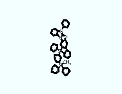 C[Si](c1ccccc1)(c1ccccc1)c1cccc([Si](c2ccccc2)(c2ccccc2)c2ccc3nc4n(-c5ccccc5)c5ccccc5n4c3c2)c1